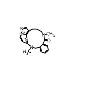 CN1CCCC2=C3N=C(C=C[N+]3(F)N=C2)N(C)Cc2ccccc2C1=O